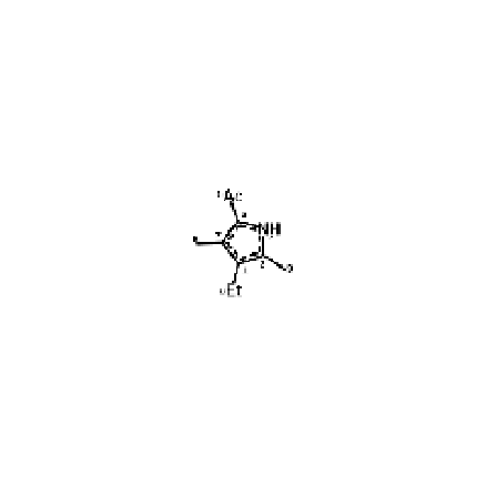 CCc1c(C)[nH]c(C(C)=O)c1C